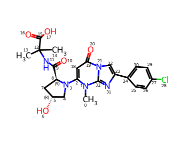 Cn1c(N2C[C@H](O)C[C@H]2C(=O)NC(C)(C)C(=O)O)cc(=O)n2cc(-c3ccc(Cl)cc3)nc12